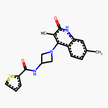 Cc1ccc2c(N3CC(NC(=O)c4cccs4)C3)c(C#N)c(=O)[nH]c2c1